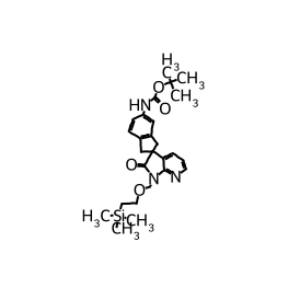 CC(C)(C)OC(=O)Nc1ccc2c(c1)CC1(C2)C(=O)N(COCC[Si](C)(C)C)c2ncccc21